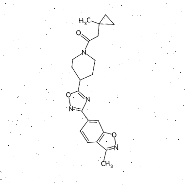 Cc1noc2cc(-c3noc(C4CCN(C(=O)CC5(C)CC5)CC4)n3)ccc12